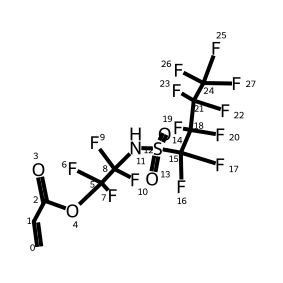 C=CC(=O)OC(F)(F)C(F)(F)NS(=O)(=O)C(F)(F)C(F)(F)C(F)(F)C(F)(F)F